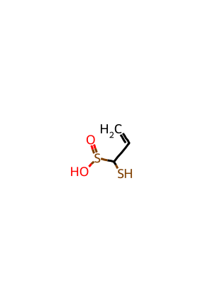 C=CC(S)S(=O)O